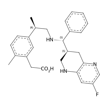 Cc1ccc([C@@H](C)CN[C@H](c2ccccc2)[C@@H]2CNc3cc(F)cnc3C2)cc1CC(=O)O